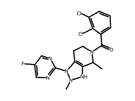 CC1C2=C(CCN1C(=O)c1cccc(Cl)c1Cl)N(c1ncc(F)cn1)N(C)N2